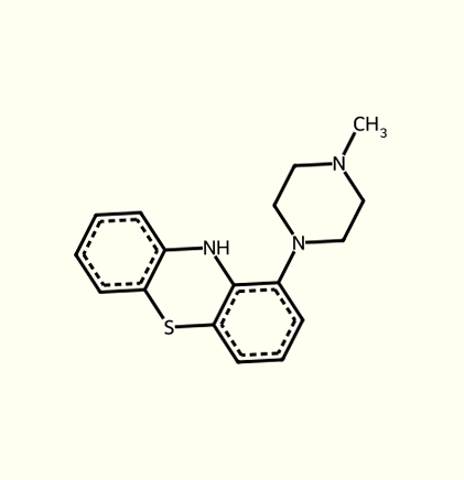 CN1CCN(c2cccc3c2Nc2ccccc2S3)CC1